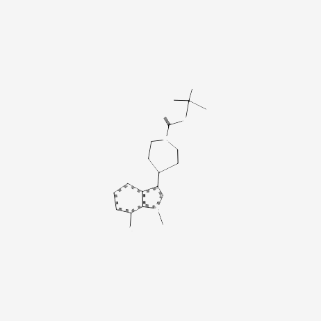 Cn1cc(C2CCN(C(=O)OC(C)(C)C)CC2)c2cccc(Br)c21